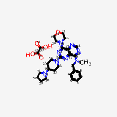 CN(Cc1ccccc1)c1ncnc2c(N3CCOCC3)nc(N3CCC(N4CCCC4)CC3)nc12.O=C(O)C(=O)O